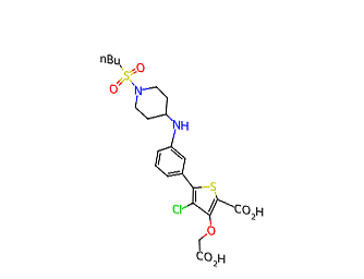 CCCCS(=O)(=O)N1CCC(Nc2cccc(-c3sc(C(=O)O)c(OCC(=O)O)c3Cl)c2)CC1